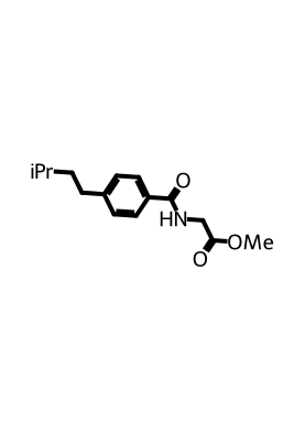 COC(=O)CNC(=O)c1ccc(CCC(C)C)cc1